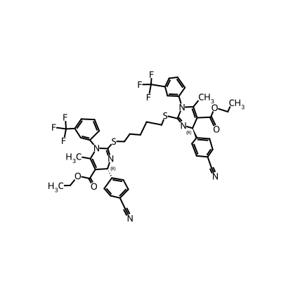 CCOC(=O)C1=C(C)N(c2cccc(C(F)(F)F)c2)C(SCCCCCSC2=N[C@H](c3ccc(C#N)cc3)C(C(=O)OCC)=C(C)N2c2cccc(C(F)(F)F)c2)=N[C@@H]1c1ccc(C#N)cc1